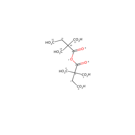 O=C(O)CC(C(=O)O)(C(=O)O)C(=O)OC(=O)C(CC(=O)O)(C(=O)O)C(=O)O